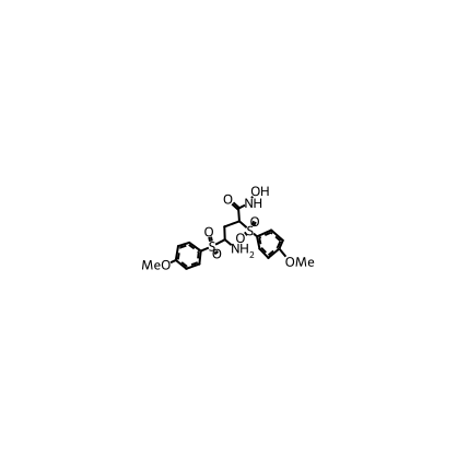 COc1ccc(S(=O)(=O)C(N)CC(C(=O)NO)S(=O)(=O)c2ccc(OC)cc2)cc1